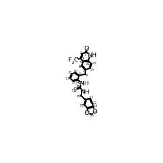 O=c1cc(C(F)(F)F)c2cc(Cc3ccccc3NC(=S)NCc3ccc4c(c3)OCO4)ccc2[nH]1